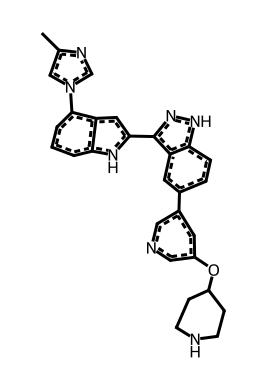 Cc1cn(-c2cccc3[nH]c(-c4n[nH]c5ccc(-c6cncc(OC7CCNCC7)c6)cc45)cc23)cn1